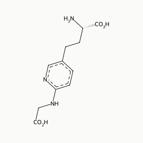 N[C@@H](CCc1ccc(NCC(=O)O)nc1)C(=O)O